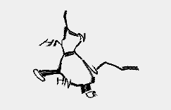 C=CCn1c(=O)[nH]c(=O)c2[nH]c(C)nc21